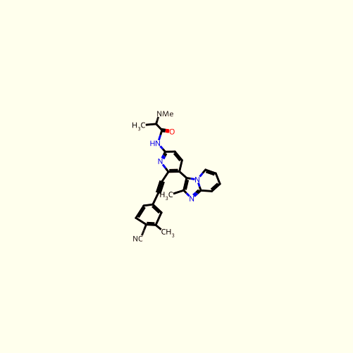 CNC(C)C(=O)Nc1ccc(-c2c(C)nc3ccccn23)c(C#Cc2ccc(C#N)c(C)c2)n1